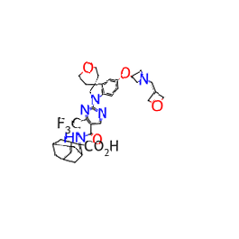 O=C(NC1(C(=O)O)C2CC3CC(C2)CC1C3)c1cnc(N2CC3(CCOCC3)c3cc(OC4CN(CC5COC5)C4)ccc32)nc1C(F)(F)F